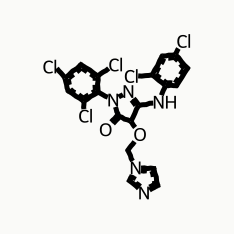 O=C1C(OCn2ccnc2)C(Nc2ccc(Cl)cc2Cl)=NN1c1c(Cl)cc(Cl)cc1Cl